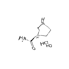 Cl.Cl.NC(=O)[C@@H]1CCNC1